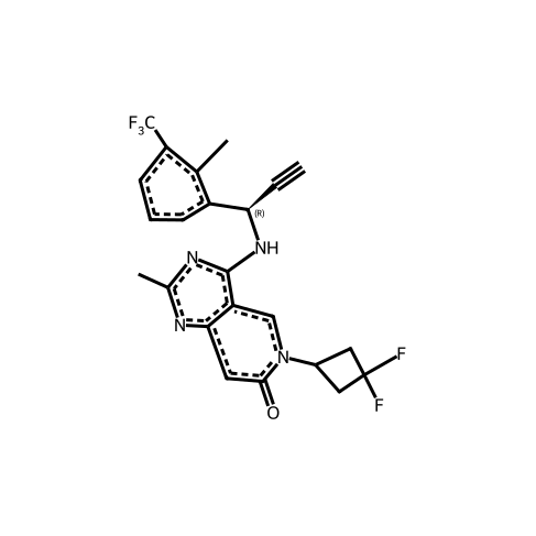 C#C[C@@H](Nc1nc(C)nc2cc(=O)n(C3CC(F)(F)C3)cc12)c1cccc(C(F)(F)F)c1C